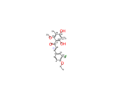 CCOc1ccc(/C=C/C(=O)c2c(O)c(C)c(O)c(C)c2OC)cc1F